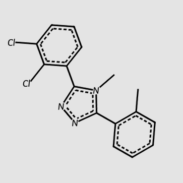 Cc1ccccc1-c1nnc(-c2cccc(Cl)c2Cl)n1C